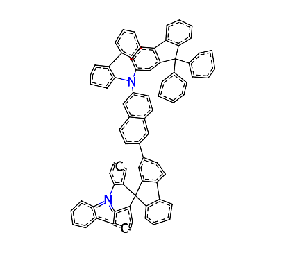 c1ccc(-c2ccccc2N(c2ccc3c(c2)C(c2ccccc2)(c2ccccc2)c2ccccc2-3)c2ccc3cc(-c4ccc5c(c4)C4(c6ccccc6-5)c5ccccc5-n5c6ccccc6c6cccc4c65)ccc3c2)cc1